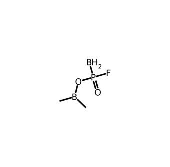 BP(=O)(F)OB(C)C